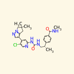 CNC(=O)c1ccc([C@H](C)CNC(=O)Nc2cc(-c3cnn4c3CC(C)(C)C4)c(Cl)cn2)cc1